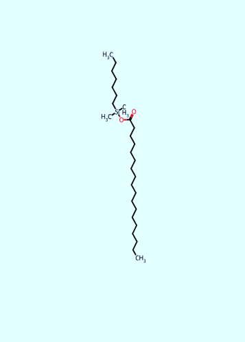 CCCCCCCCCCCCCCCCCC(=O)O[Si](C)(C)CCCCCCC